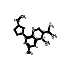 CN[C@@H]1CCN(c2nc(N)nc3c2OCC(C(C)C)N3C)C1